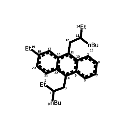 CCCCC(CC)Cc1c2ccccc2c(CC(CC)CCCC)c2cc(CC)ccc12